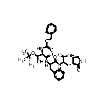 CC(OC(C)(C)C)C(NC(=O)OCc1ccccc1)C(=O)NC(Cc1ccccc1)C(=O)NC(C[C@@H]1CCNC1=O)C(=O)O